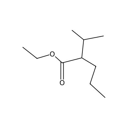 CCCC(C(=O)OCC)C(C)C